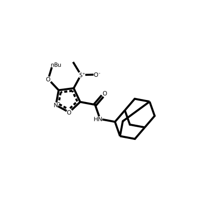 CCCCOc1noc(C(=O)NC2C3CC4CC(C3)CC2C4)c1[S+](C)[O-]